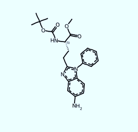 COC(=O)[C@H](CCc1nc2cc(N)ccc2n1-c1ccccc1)NC(=O)OC(C)(C)C